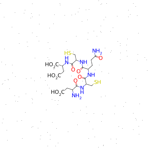 NC(=O)CCC(NC(=O)C(CS)NC(=O)C(N)CC(=O)O)C(=O)NC(CS)C(=O)NC(CC(=O)O)C(=O)O